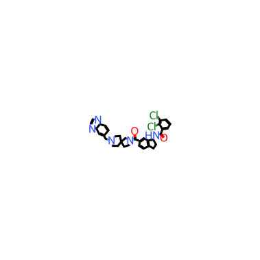 O=C(NC1CCc2ccc(C(=O)N3CCC4(CCN(Cc5ccc6nccnc6c5)CC4)C3)cc21)c1cccc(Cl)c1Cl